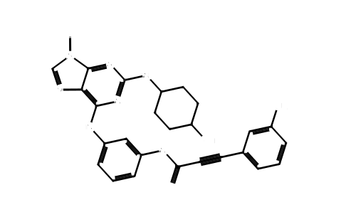 CCn1cnc2c(Nc3cccc(NC(=O)C#Cc4cccc(C(F)(F)F)c4)c3)nc(NC3CCC(O)CC3)nc21